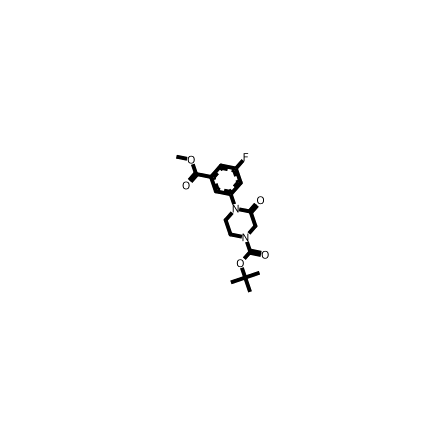 COC(=O)c1cc(F)cc(N2CCN(C(=O)OC(C)(C)C)CC2=O)c1